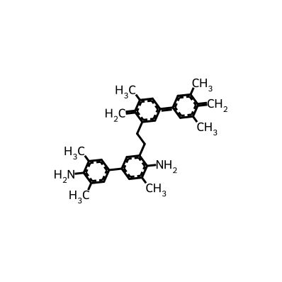 C=c1c(C)cc(=c2cc(C)c(=C)c(CCc3cc(-c4cc(C)c(N)c(C)c4)cc(C)c3N)c2)cc1C